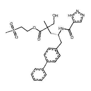 CC(CO)(C[C@@H](Cc1ccc(-c2ccccc2)cc1)NC(=O)c1cnn[nH]1)C(=O)OCCS(C)(=O)=O